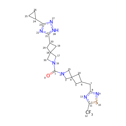 O=C(N1CC2(CC(Cc3nsc(C(F)(F)F)n3)C2)C1)N1CC2(CC(c3nc(C4CC4)n[nH]3)C2)C1